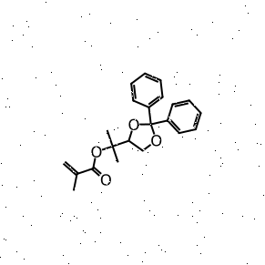 C=C(C)C(=O)OC(C)(C)C1COC(c2ccccc2)(c2ccccc2)O1